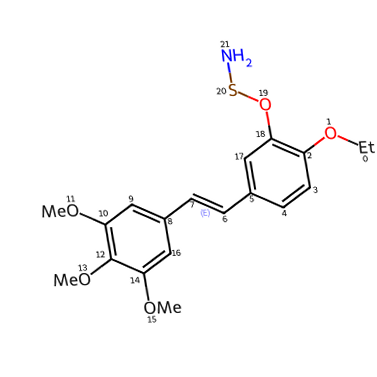 CCOc1ccc(/C=C/c2cc(OC)c(OC)c(OC)c2)cc1OSN